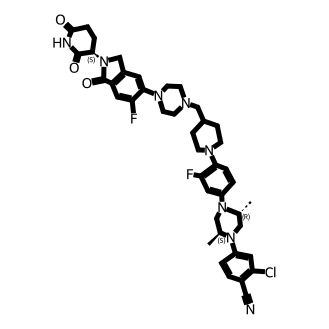 C[C@@H]1CN(c2ccc(C#N)c(Cl)c2)[C@@H](C)CN1c1ccc(N2CCC(CN3CCN(c4cc5c(cc4F)C(=O)N([C@H]4CCC(=O)NC4=O)C5)CC3)CC2)c(F)c1